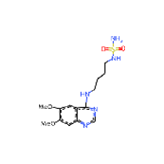 COc1cc2ncnc(NCCCCNS(N)(=O)=O)c2cc1OC